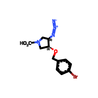 [N-]=[N+]=N[C@@H]1CN(C(=O)O)C[C@H]1OCc1ccc(Br)cc1